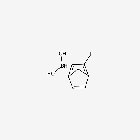 FC1=C2C=CC(=C1)C2.OBO